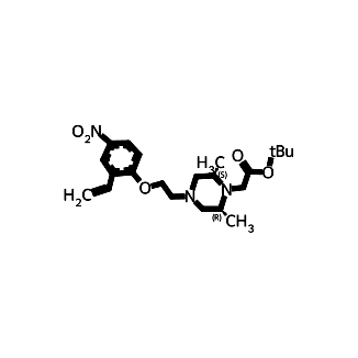 C=Cc1cc([N+](=O)[O-])ccc1OCCN1C[C@@H](C)N(CC(=O)OC(C)(C)C)[C@@H](C)C1